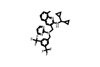 Cc1cccc2cc(CN(Cc3cc(C(F)(F)F)cc(C(F)(F)F)c3)c3ncccn3)c(NC(C3CC3)C3CC3)nc12